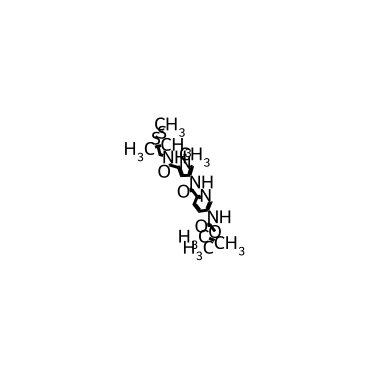 CSSC(C)(C)CNC(=O)c1cc(NC(=O)c2ccc(NC(=O)OC(C)(C)C)cn2)cn1C